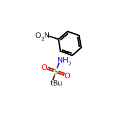 CC(C)(C)S(N)(=O)=O.O=[N+]([O-])c1ccccc1